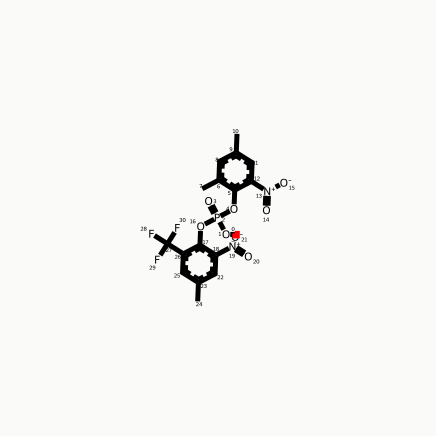 COP(=O)(Oc1c(C)cc(C)cc1[N+](=O)[O-])Oc1c([N+](=O)[O-])cc(C)cc1C(F)(F)F